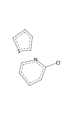 Clc1ccccn1.c1ccsc1